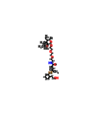 CCC1OC(OCCOCCOCCNC(=O)CCC(C)(C)SSc2ccccc2CCO)C(O[Si](C)(C)C(C)(C)C)C(C)C1C